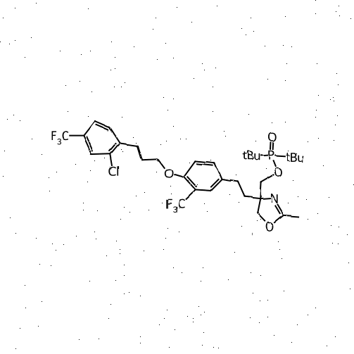 CC1=NC(CCc2ccc(OCCCc3ccc(C(F)(F)F)cc3Cl)c(C(F)(F)F)c2)(COP(=O)(C(C)(C)C)C(C)(C)C)CO1